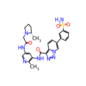 Cc1ncc(NC(=O)CN2CCC[C@@H]2C)cc1NC(=O)c1nnn2cc(-c3cccc(S(N)(=O)=O)c3)ccc12